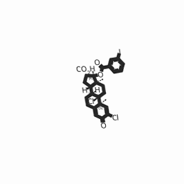 C[C@]12C=C(Cl)C(=O)C=C1CC[C@H]1[C@@H]3CC[C@](OC(=O)c4cccc(I)c4)(C(=O)O)[C@@]3(C)CC[C@@]12Cl